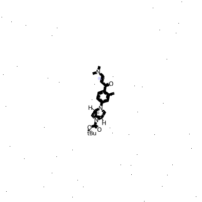 Cc1cc(N2C[C@@H]3C[C@H]2CN3C(=O)OC(C)(C)C)ccc1C(=O)/C=C/N(C)C